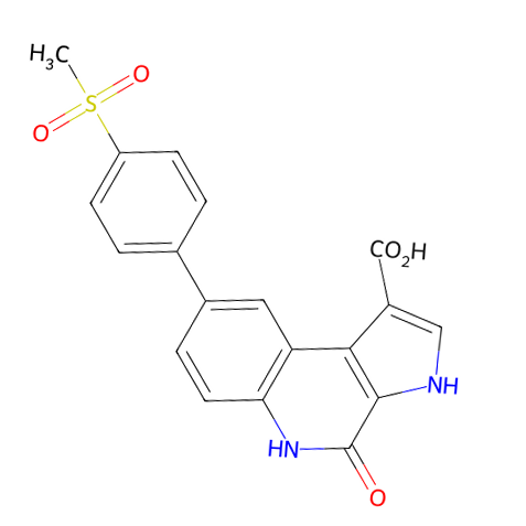 CS(=O)(=O)c1ccc(-c2ccc3[nH]c(=O)c4[nH]cc(C(=O)O)c4c3c2)cc1